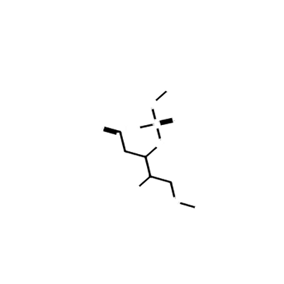 COCC(O)C(CC=O)OP(=O)(O)OC